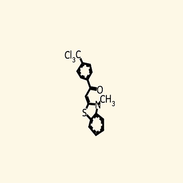 CN1C(=CC(=O)c2ccc(C(Cl)(Cl)Cl)cc2)Sc2ccccc21